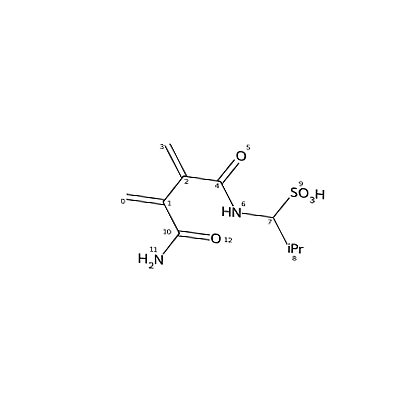 C=C(C(=C)C(=O)NC(C(C)C)S(=O)(=O)O)C(N)=O